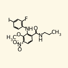 CCCNC(=O)c1ccc([N+](=O)[O-])c(OC)c1Nc1ccc(I)cc1F